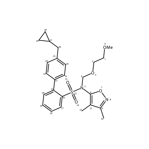 COCCOCN(c1onc(C)c1C)S(=O)(=O)c1ccccc1-c1ccc(CC2CC2)cc1